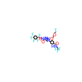 O=C(NCC(F)(F)F)c1ccc(-n2cc(C(=O)NOC(F)c3cc(F)c(F)c(F)c3F)nn2)c(OCCOCCF)c1